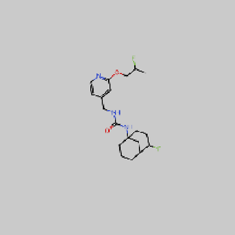 CC(F)COc1cc(CNC(=O)NC23CCCC(C2)C(F)CC3)ccn1